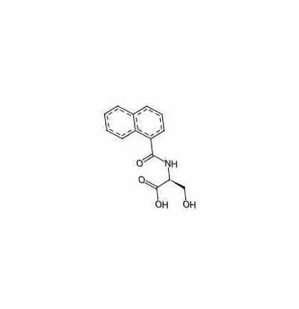 O=C(N[C@@H](CO)C(=O)O)c1cccc2ccccc12